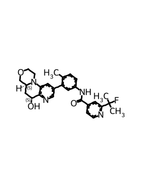 Cc1ccc(NC(=O)c2ccnc(C(C)(C)F)c2)cc1-c1cnc2c(c1)N1CCOC[C@@H]1C[C@@H]2O